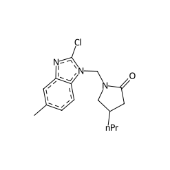 CCCC1CC(=O)N(Cn2c(Cl)nc3cc(C)ccc32)C1